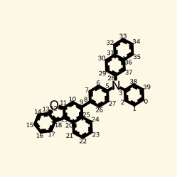 c1ccc(N(c2ccc(-c3cc4oc5ccccc5c4c4ccccc34)cc2)c2ccc3ccccc3c2)cc1